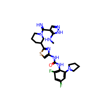 CNc1[nH]ncc1C(=N)N1CCCC(c2nc(NC(=O)Nc3c(F)cc(F)cc3N3CCCC3)cs2)C1